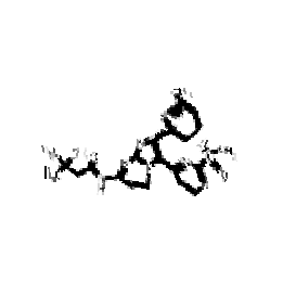 Cc1cccc(-c2nc3nc(NC(=O)CC(C)(C)C)ccn3c2-c2ccnc(S(C)(=O)=O)n2)n1